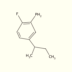 CCC(C)c1ccc(F)c(P)c1